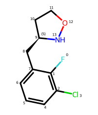 Fc1c(Cl)cccc1C[C@H]1CCON1